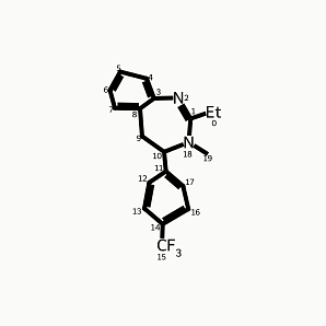 CCC1=Nc2ccccc2CC(c2ccc(C(F)(F)F)cc2)N1C